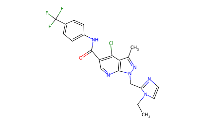 CCn1ccnc1Cn1nc(C)c2c(Cl)c(C(=O)Nc3ccc(C(F)(F)F)cc3)cnc21